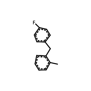 Cc1ccccc1Cc1ccc(F)cc1